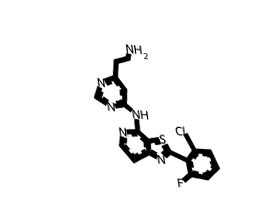 NCCc1cc(Nc2nccc3nc(-c4c(F)cccc4Cl)sc23)ncn1